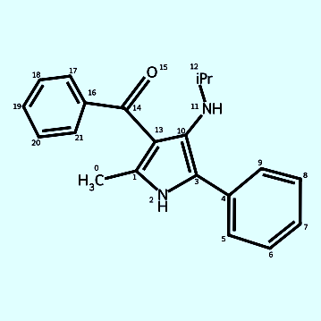 Cc1[nH]c(-c2ccccc2)c(NC(C)C)c1C(=O)c1ccccc1